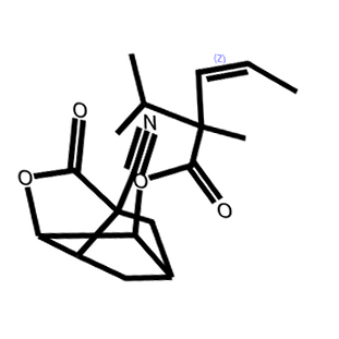 C/C=C\C(C)(C(=O)OC1C2CC3C1OC(=O)C3(C#N)C2)C(C)C